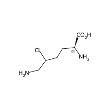 NCC(Cl)CC[C@H](N)C(=O)O